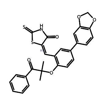 CC(C)(Oc1ccc(-c2ccc3c(c2)OCO3)cc1/C=C1/SC(=S)NC1=O)C(=O)c1ccccc1